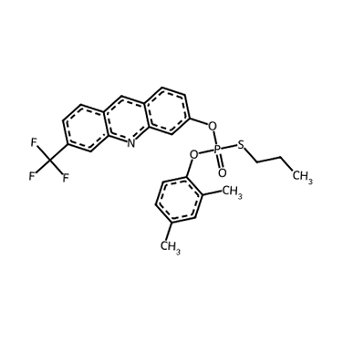 CCCSP(=O)(Oc1ccc2cc3ccc(C(F)(F)F)cc3nc2c1)Oc1ccc(C)cc1C